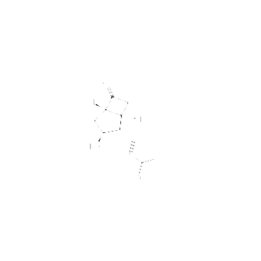 CCCCCCCCC(O)C=C[C@H]1[C@@H]2CC(=O)[C@H]2C[C@@H]1O